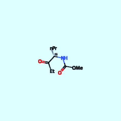 CCC[C@H](NC(=O)OC)C(=O)CC